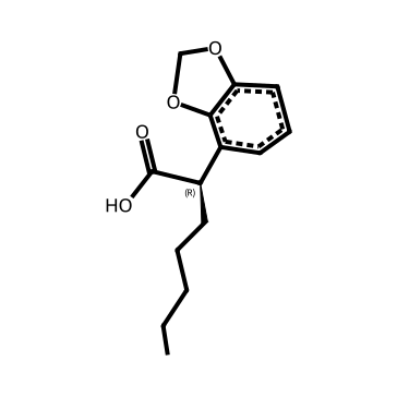 CCCCC[C@@H](C(=O)O)c1cccc2c1OCO2